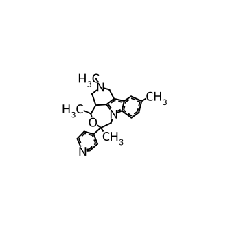 Cc1ccc2c(c1)c1c3n2CC(C)(c2ccncc2)OC(C)C3CN(C)C1